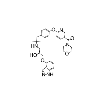 CC(C)(Cc1ccc(Oc2ccc(C(=O)N3CCOCC3)cn2)cc1)NC[C@H](O)COc1cccc2[nH]ncc12